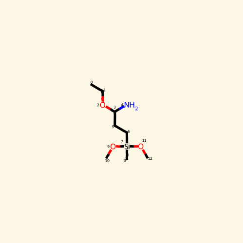 CCOC(N)CC[Si](C)(OC)OC